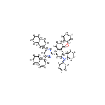 c1ccc(-n2c3ccccc3c3c4c(ccc5c6ccccc6oc54)c(-c4nc(-c5ccc6ccccc6c5)cc(-c5cccc6ccccc56)n4)cc32)cc1